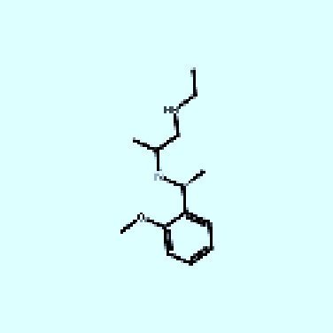 CCNCC(C)N[C@@H](C)c1ccccc1OC